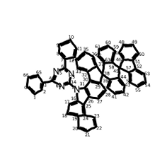 c1ccc(-c2nc(-c3ccccc3)nc(-n3c4ccc5ccccc5c4c4ccc5c(c43)-c3ccccc3C53c4ccccc4C4(c5ccccc5-c5ccccc54)c4ccccc43)n2)cc1